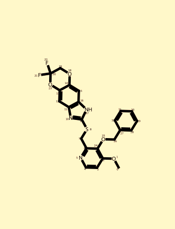 COc1ccnc(CSc2nc3cc4c(cc3[nH]2)OCC(F)(F)O4)c1OCc1ccccc1